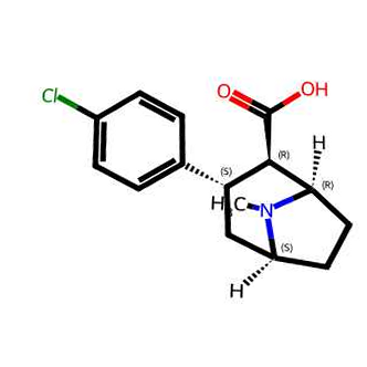 CN1[C@H]2CC[C@@H]1[C@H](C(=O)O)[C@@H](c1ccc(Cl)cc1)C2